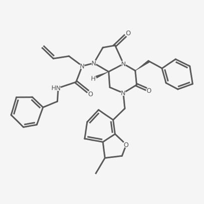 C=CCN(C(=O)NCc1ccccc1)N1CC(=O)N2[C@@H](Cc3ccccc3)C(=O)N(Cc3cccc4c3OCC4C)C[C@@H]21